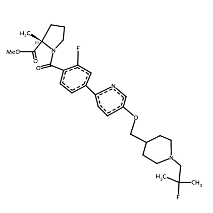 COC(=O)[C@]1(C)CCCN1C(=O)c1ccc(-c2ccc(OCC3CCN(CC(C)(C)F)CC3)cn2)cc1F